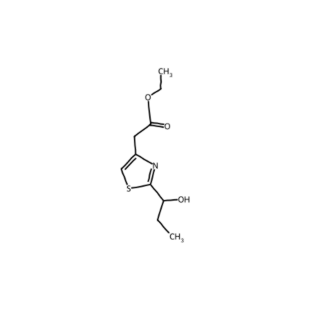 CCOC(=O)Cc1csc(C(O)CC)n1